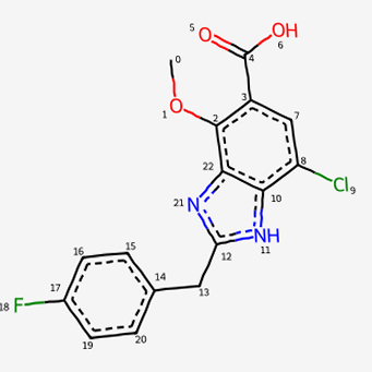 COc1c(C(=O)O)cc(Cl)c2[nH]c(Cc3ccc(F)cc3)nc12